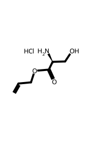 C=CCOC(=O)[C@@H](N)CO.Cl